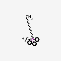 CCCCCCCCCCCCCP(CCC)(c1ccccc1)(c1ccccc1)c1ccccc1